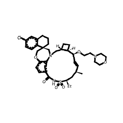 CC[C@@H]1C[C@H](C)/C=C/[C@H](OCCN2CCOCC2)[C@@H]2CC[C@H]2CN2C[C@@]3(CCCc4cc(Cl)ccc43)COc3ccc(cc32)C(=O)NS1(=O)=O